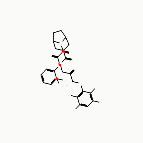 CC(C)(C)c1ccccc1NC(=O)C(=O)N1C2CCC1CC(C(=O)N[C@@H](CC(=O)O)C(=O)COc1c(F)c(F)cc(F)c1F)C2